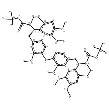 COc1cc2c(cc1OC)[C@@H](Cc1ccc(Oc3ccc(C[C@@H]4c5cc(OC)c(OC)cc5CCN4C(=O)OC(C)(C)C)cc3OC)c(OC)c1)N(C(=O)OC(C)(C)C)CC2